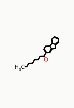 CCCCCCCC(=O)c1ccc2c(c1)Cc1ccccc1-2